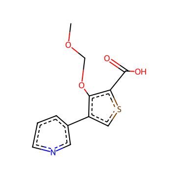 COCOc1c(-c2cccnc2)csc1C(=O)O